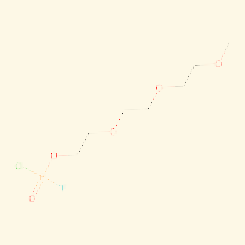 COCCOCCOCCOP(=O)(F)Cl